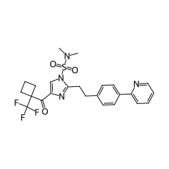 CN(C)S(=O)(=O)n1cc(C(=O)C2(C(F)(F)F)CCC2)nc1CCc1ccc(-c2ccccn2)cc1